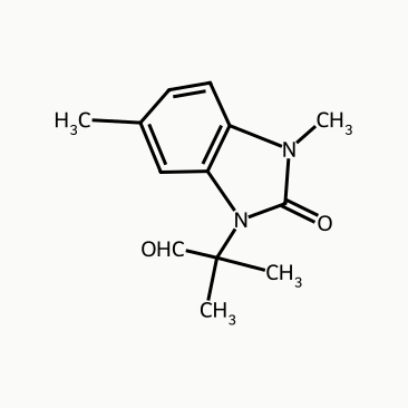 Cc1ccc2c(c1)n(C(C)(C)C=O)c(=O)n2C